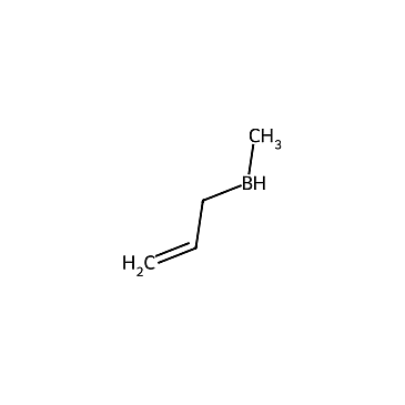 C=CCBC